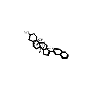 C[C@]12CC[C@H](O)CC1=CC[C@@H]1[C@@H]2CC[C@]2(C)C(c3ccc4ccccc4c3)=CC[C@@H]12